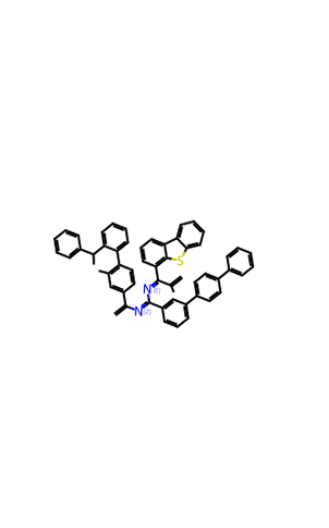 C=C(C)/C(=N\C(=N/C(=C)c1ccc(-c2ccccc2C(C)c2ccccc2)c(C)c1)c1cccc(-c2ccc(-c3ccccc3)cc2)c1)c1cccc2c1sc1ccccc12